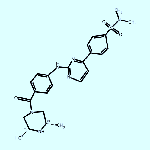 C[C@@H]1CN(C(=O)c2ccc(Nc3nccc(-c4ccc(S(=O)(=O)N(C)C)cc4)n3)cc2)C[C@H](C)N1